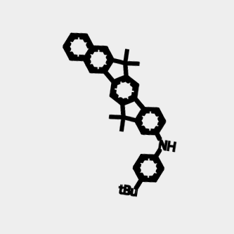 CC(C)(C)c1ccc(Nc2ccc3c(c2)C(C)(C)c2cc4c(cc2-3)C(C)(C)c2cc3ccccc3cc2-4)cc1